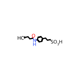 C#CCCC(=O)Nc1ccc(CCCS(=O)(=O)O)cc1